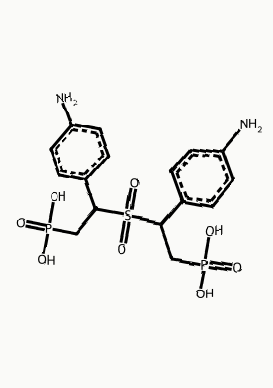 Nc1ccc(C(CP(=O)(O)O)S(=O)(=O)C(CP(=O)(O)O)c2ccc(N)cc2)cc1